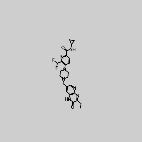 CCc1nc2ncc(CN3CCN(c4ccc(C(=O)NC5CC5)nc4C(F)F)CC3)cc2[nH]c1=O